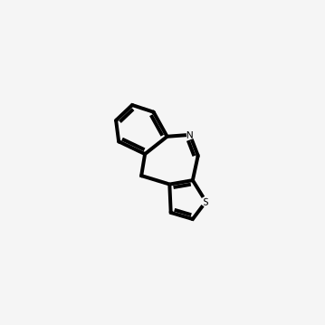 C1=Nc2ccccc2Cc2ccsc21